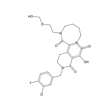 O=C1c2c(c3n(c(=O)c2O)CCCCN(CCOCO)C3=O)CCN1Cc1ccc(F)c(Cl)c1